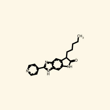 CCCCCC1C(=O)Nc2cc3[nH]c(-c4ccncc4)nc3cc21